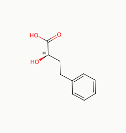 O=C(O)[C@H](O)CCc1ccccc1